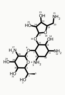 C[C@@H](O)C1OC(OC2C(N)CC(N)C(O)C2OC2OC(CN)C(O)C2O)C(N)C(O)C1O